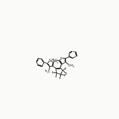 Cc1sc(-c2ccccc2)c(C)c1C1=C(c2c(C)sc(-c3ccccc3)c2C)C(F)(F)C(F)(F)C1(F)F